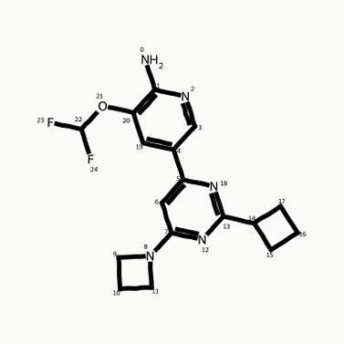 Nc1ncc(-c2cc(N3CCC3)nc(C3CCC3)n2)cc1OC(F)F